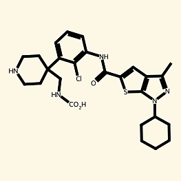 Cc1nn(C2CCCCC2)c2sc(C(=O)Nc3cccc(C4(CNC(=O)O)CCNCC4)c3Cl)cc12